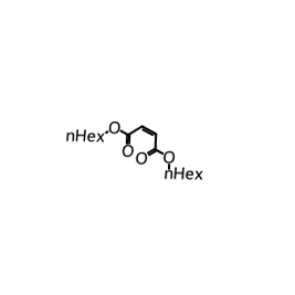 CCCCCCOC(=O)/C=C\C(=O)OCCCCCC